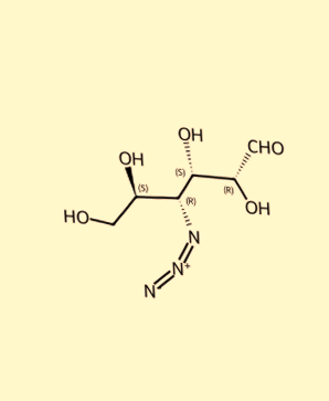 [N-]=[N+]=N[C@@H]([C@H](O)[C@@H](O)C=O)[C@H](O)CO